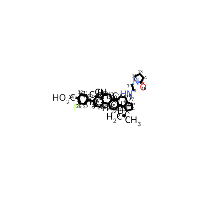 C=C(C)[C@@H]1CC[C@]2(CNCCN3CCCC3=O)CC[C@]3(C)[C@H](CC[C@@H]4[C@@]5(C)CC=C(c6ccc(C(=O)O)c(F)c6)C(C)(C)[C@@H]5CC[C@]43C)[C@@H]12